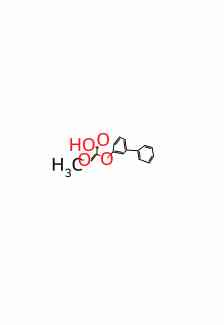 COC=C(Oc1cccc(-c2ccccc2)c1)C(=O)O